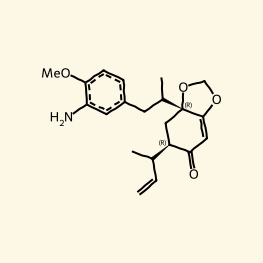 C=CC(C)[C@H]1C[C@]2(C(C)Cc3ccc(OC)c(N)c3)OCOC2=CC1=O